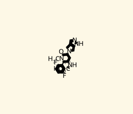 CN1C(=O)[C@H](N2Cc3cn[nH]c3C2)C[C@H](NC(=O)O)[C@H]1c1cc(F)ccc1F